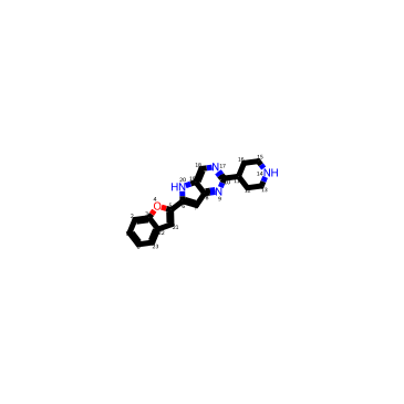 c1ccc2oc(-c3cc4nc(C5CCNCC5)ncc4[nH]3)cc2c1